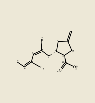 C=C1C[C@@H](C/C(F)=C\C(F)=C/C)[C@H](C(=O)O)C1